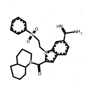 N=C(N)c1ccc2cc(C(=O)N3CCCC4CCCCC43)n(CCS(=O)(=O)c3ccccc3)c2c1